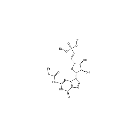 CCOP(=O)(/C=C/[C@H]1O[C@@H](n2cnc3c(=O)[nH]c(NC(=O)CC(C)C)nc32)[C@H](O)[C@@H]1O)OCC